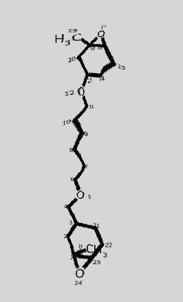 CC12CC(COCCCCCCOC3CCC4OC4(C)C3)CCC1O2